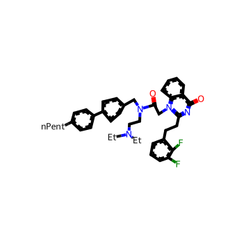 CCCCCc1ccc(-c2ccc(CN(CCN(CC)CC)C(=O)Cn3c(CCc4cccc(F)c4F)nc(=O)c4ccccc43)cc2)cc1